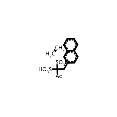 C=C.CC(=O)C(Cc1ccc2ccccc2c1)(S(=O)(=O)O)S(=O)(=O)O